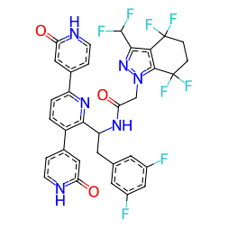 O=C(Cn1nc(C(F)F)c2c1C(F)(F)CCC2(F)F)NC(Cc1cc(F)cc(F)c1)c1nc(-c2cc[nH]c(=O)c2)ccc1-c1cc[nH]c(=O)c1